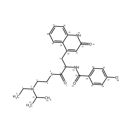 CCN(CCSC(=O)C(Cc1cc(=O)[nH]c2ccccc12)NC(=O)c1ccc(Cl)cc1)C(C)C